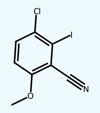 COc1ccc(Cl)c(I)c1C#N